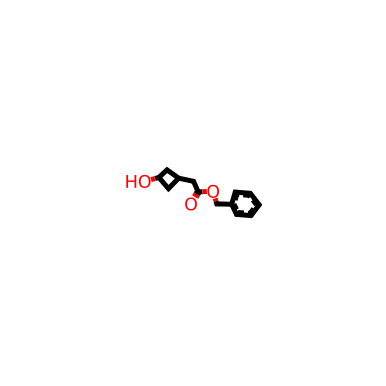 O=C(CC1CC(O)C1)OCc1ccccc1